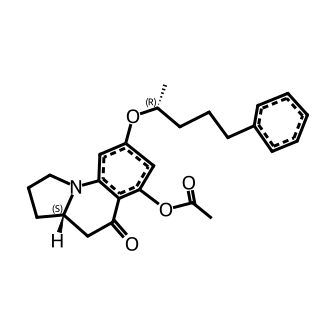 CC(=O)Oc1cc(O[C@H](C)CCCc2ccccc2)cc2c1C(=O)C[C@@H]1CCCN21